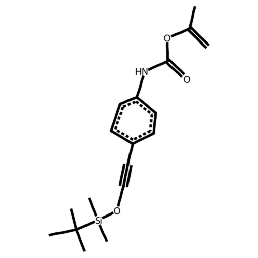 C=C(C)OC(=O)Nc1ccc(C#CO[Si](C)(C)C(C)(C)C)cc1